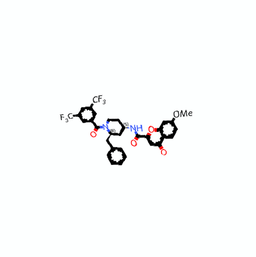 COc1ccc2c(=O)cc(C(=O)N[C@H]3CCN(C(=O)c4cc(C(F)(F)F)cc(C(F)(F)F)c4)[C@H](Cc4ccccc4)C3)oc2c1